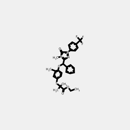 CCOC(=O)C(C)(C)Sc1ccc(OC(c2ccccc2)c2nn(-c3ccc(C(F)(F)F)cc3)c(=O)n2C)c(C)c1